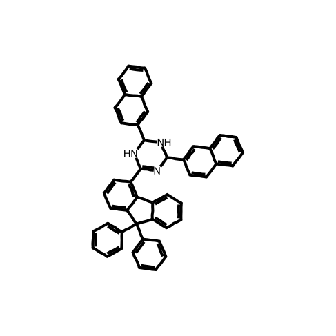 c1ccc(C2(c3ccccc3)c3ccccc3-c3c(C4=NC(c5ccc6ccccc6c5)NC(c5ccc6ccccc6c5)N4)cccc32)cc1